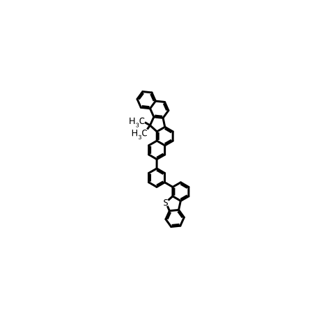 CC1(C)c2c(ccc3ccccc23)-c2ccc3cc(-c4cccc(-c5cccc6c5sc5ccccc56)c4)ccc3c21